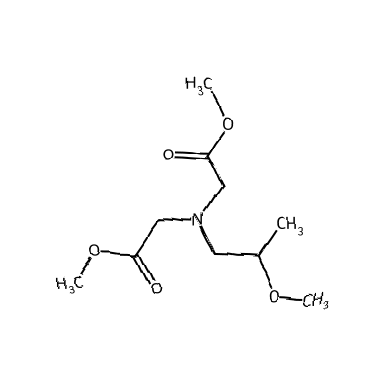 COC(=O)CN(CC(=O)OC)CC(C)OC